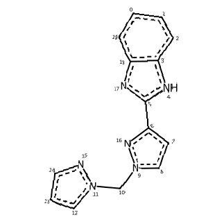 c1ccc2[nH]c(-c3ccn(Cn4cccn4)n3)nc2c1